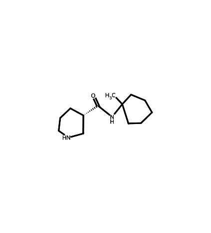 CC1(NC(=O)[C@H]2CCCNC2)CCCCC1